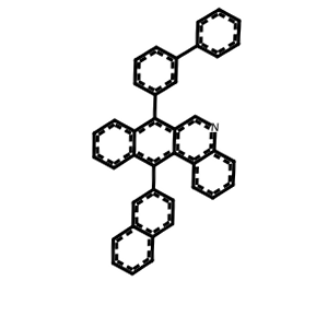 c1ccc(-c2cccc(-c3c4ccccc4c(-c4ccc5ccccc5c4)c4c3cnc3ccccc34)c2)cc1